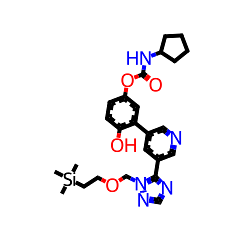 C[Si](C)(C)CCOCn1ncnc1-c1cncc(-c2cc(OC(=O)NC3CCCC3)ccc2O)c1